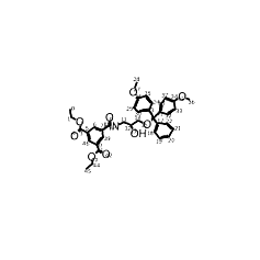 CCOC(=O)c1cc(C(=O)NCC(O)COC(c2ccccc2)(c2ccc(OC)cc2)c2ccc(OC)cc2)cc(C(=O)OCC)c1